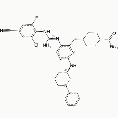 N#Cc1cc(F)c(N/C(N)=N/c2cnc(N[C@@H]3CCCN(c4ccccc4)C3)nc2C[C@H]2CC[C@@H](C(N)=O)CC2)c(Cl)c1